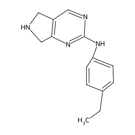 CCc1ccc(Nc2ncc3c(n2)CNC3)cc1